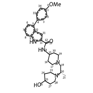 COc1ccc(-c2cccc3[nH]c(C(=O)NC4CCN(C[C@H](C)N5CCC(O)CC5)CC4)cc23)cc1